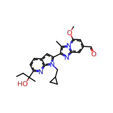 CCC(C)(O)c1ccc2cc(-c3nc4cc(C=O)cc(OC)n4c3C)n(CC3CC3)c2n1